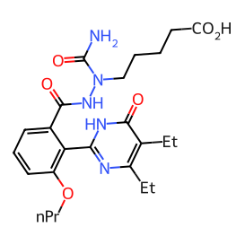 CCCOc1cccc(C(=O)NN(CCCCC(=O)O)C(N)=O)c1-c1nc(CC)c(CC)c(=O)[nH]1